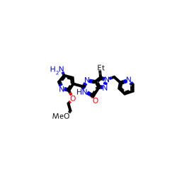 CCc1c2nc(-c3cc(N)cnc3OCCOC)[nH]c(=O)c2nn1Cc1ccccn1